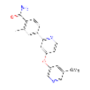 COc1cncc(Oc2ccnc(-c3ccc(C(N)=O)c(C)c3)c2)c1